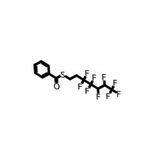 O=C(SCCC(F)(F)C(F)(F)C(F)C(F)C(F)(F)F)c1ccccc1